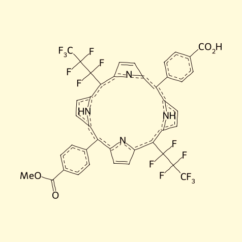 COC(=O)c1ccc(-c2c3nc(c(C(F)(F)C(F)(F)C(F)(F)F)c4ccc([nH]4)c(-c4ccc(C(=O)O)cc4)c4nc(c(C(F)(F)C(F)(F)C(F)(F)F)c5ccc2[nH]5)C=C4)C=C3)cc1